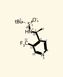 C[C@H](N[S@@+]([O-])C(C)(C)C)c1ccncc1C(F)(F)F